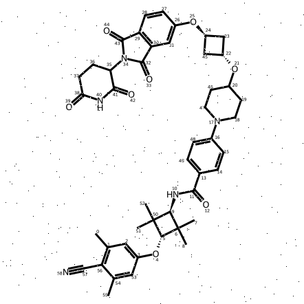 Cc1cc(O[C@H]2C(C)(C)[C@H](NC(=O)c3ccc(N4CCC(O[C@H]5C[C@H](Oc6ccc7c(c6)C(=O)N(C6CCC(=O)NC6=O)C7=O)C5)CC4)cc3)C2(C)C)cc(C)c1C#N